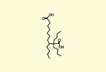 CCCCC(CCCCCCC(=O)O)C(CCCC)(CCCC)C(=O)O